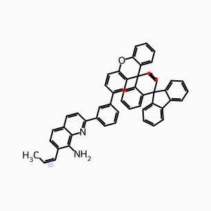 C/C=C\c1ccc2ccc(-c3cccc(-c4ccc5c(c4)C4(c6ccccc6O5)c5ccccc5C5(c6ccccc6-c6ccccc65)c5ccccc54)c3)nc2c1N